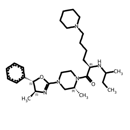 CCC(C)N[C@H](CCCCN1CCCCC1)C(=O)N1CCN(C2=N[C@@H](C)[C@H](c3ccccc3)O2)C[C@H]1C